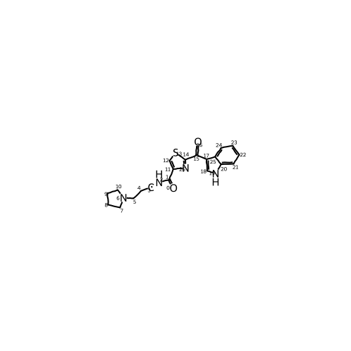 O=C(NCCCN1CCCC1)c1csc(C(=O)c2c[nH]c3ccccc23)n1